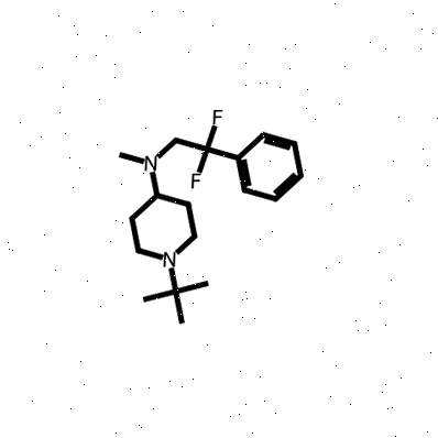 CN(CC(F)(F)c1ccccc1)C1CCN(C(C)(C)C)CC1